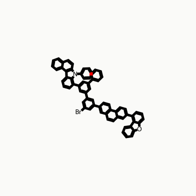 Brc1cc(-c2cc(-c3ccccc3)cc(-c3cccc4c5c6ccccc6ccc5n(-c5ccccc5)c34)c2)cc(-c2ccc3c(ccc4cc(-c5cccc6oc7ccccc7c56)ccc43)c2)c1